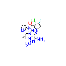 N#Cc1c(N)nc(N)nc1N(CC1CC1)c1nc2ccc(F)c(Cl)c2c(=O)n1-c1cccnc1